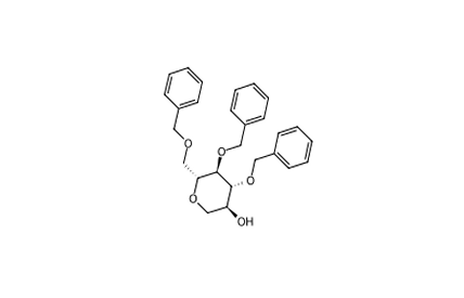 O[C@H]1CO[C@H](COCc2ccccc2)[C@@H](OCc2ccccc2)[C@@H]1OCc1ccccc1